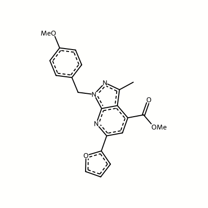 COC(=O)c1cc(-c2ccco2)nc2c1c(C)nn2Cc1ccc(OC)cc1